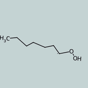 CCCCCC[CH]OO